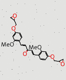 COc1cc(OCC2CO2)ccc1C=CC(=O)C=Cc1ccc(OCC2CO2)cc1OC